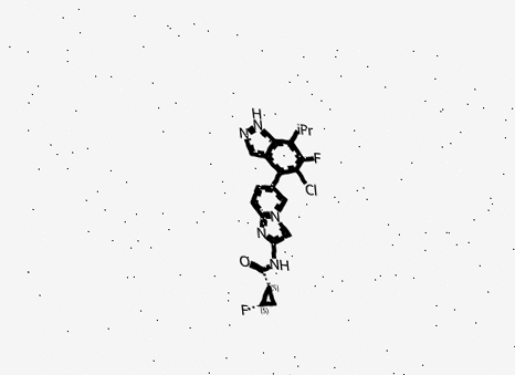 CC(C)c1c(F)c(Cl)c(-c2ccc3nc(NC(=O)[C@@H]4C[C@@H]4F)cn3c2)c2cn[nH]c12